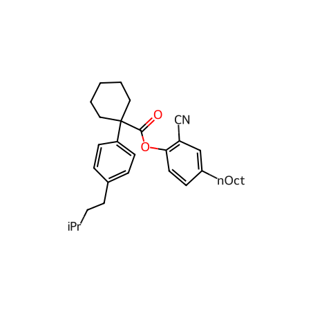 CCCCCCCCc1ccc(OC(=O)C2(c3ccc(CCC(C)C)cc3)CCCCC2)c(C#N)c1